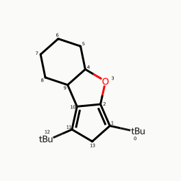 CC(C)(C)C1=C2OC3CCCCC3C2=C(C(C)(C)C)C1